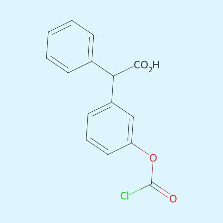 O=C(Cl)Oc1cccc(C(C(=O)O)c2ccccc2)c1